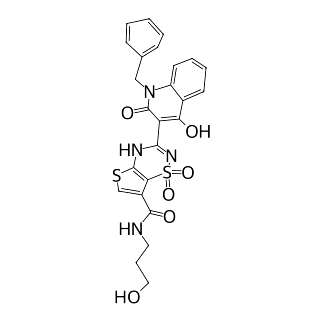 O=C(NCCCO)c1csc2c1S(=O)(=O)N=C(c1c(O)c3ccccc3n(Cc3ccccc3)c1=O)N2